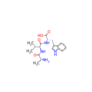 CC(C)[C@H](NC(=O)[C@H](C)N)C(=O)N[C@@H](Cc1c[nH]c2ccccc12)C(=O)O